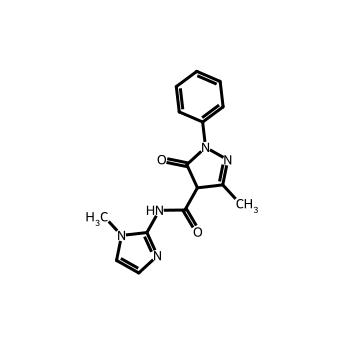 CC1=NN(c2ccccc2)C(=O)C1C(=O)Nc1nccn1C